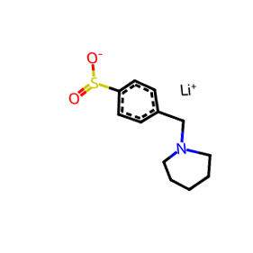 O=S([O-])c1ccc(CN2CCCCC2)cc1.[Li+]